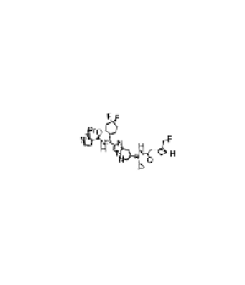 CC(C)n1nccc1C(=O)N[C@H](c1cn2ncc([C@H](NC(=O)C[C@]34C[C@H](C3)C4CF)C3CC3)cc2n1)C1CCC(F)(F)CC1